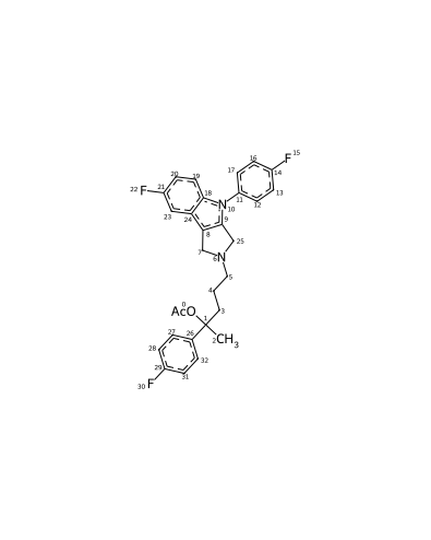 CC(=O)OC(C)(CCCN1Cc2c(n(-c3ccc(F)cc3)c3ccc(F)cc23)C1)c1ccc(F)cc1